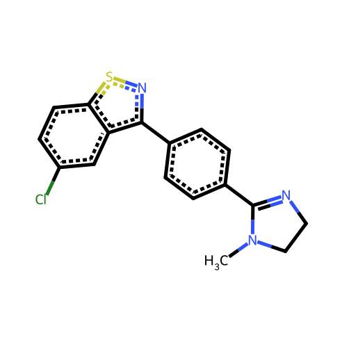 CN1CCN=C1c1ccc(-c2nsc3ccc(Cl)cc23)cc1